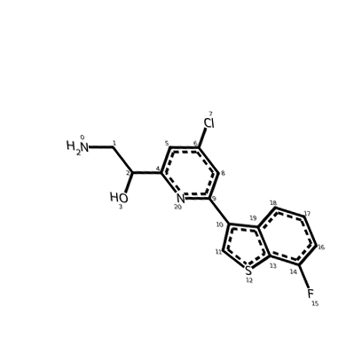 NCC(O)c1cc(Cl)cc(-c2csc3c(F)cccc23)n1